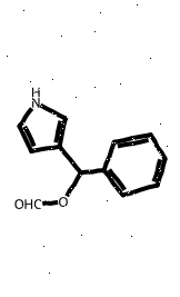 O=COC(c1ccccc1)c1cc[nH]c1